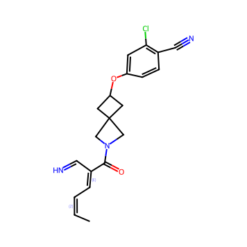 C/C=C\C=C(/C=N)C(=O)N1CC2(CC(Oc3ccc(C#N)c(Cl)c3)C2)C1